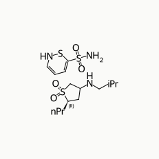 CCC[C@@H]1CC(NCC(C)C)CS1(=O)=O.NS(=O)(=O)C1=CC=CNS1